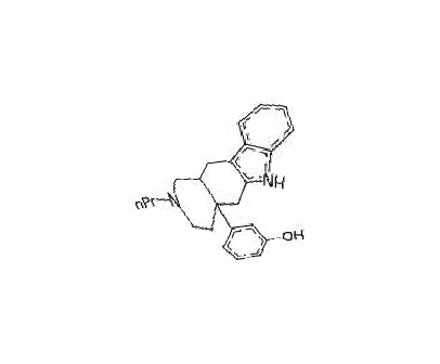 CCCN1CCC2(c3cccc(O)c3)Cc3[nH]c4ccccc4c3CC2C1